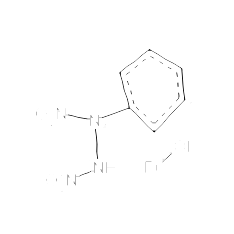 CCO.O=[N+]([O-])NN(c1ccccc1)[N+](=O)[O-]